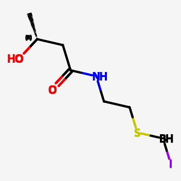 C[C@@H](O)CC(=O)NCCSBI